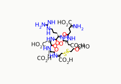 N=C(N)NCCC[C@H](NC(=O)[C@H](CC(=O)O)NC(=O)CC[C@H](N)C(=O)O)C(=O)N[C@@H](CC(=O)O)C(=O)N[C@@H](CC(=O)O)C(=O)N[C@@H](CSSCCOC=O)C(=O)O